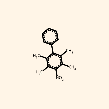 Cc1c(C)c([N+](=O)[O-])c(C)c(C)c1-c1ccccc1